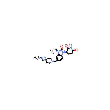 CNCC1CCN(Cc2ccc3c(c2)n(C)c(=O)n3C2CCC(=O)NC2=O)CC1